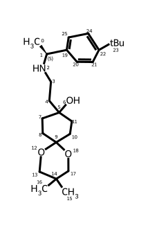 C[C@H](NCCC1(O)CCC2(CC1)OCC(C)(C)CO2)c1ccc(C(C)(C)C)cc1